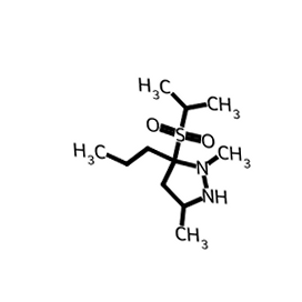 CCCC1(S(=O)(=O)C(C)C)CC(C)NN1C